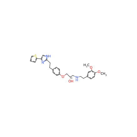 COc1ccc(CCNC[C@H](O)COc2ccc(CCc3nc(-c4cccs4)c[nH]3)cc2)cc1OC